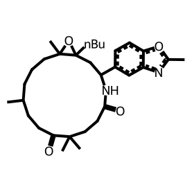 CCCCC12CC(c3ccc4oc(C)nc4c3)NC(=O)CCC(C)(C)C(=O)CCC(C)CCCC1(C)O2